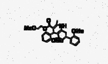 COCCOC(=O)C1=C(C)NC2=C(C(=O)CC(c3ccccc3OC)C2)C1c1ccccc1OC